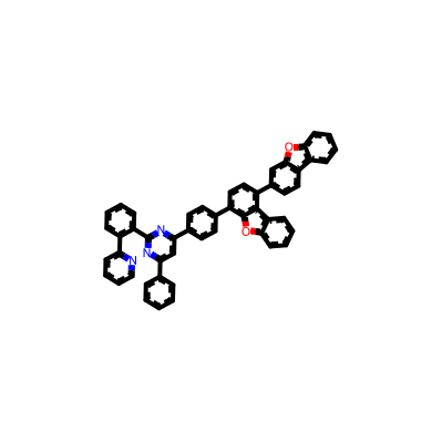 c1ccc(-c2cc(-c3ccc(-c4ccc(-c5ccc6c(c5)oc5ccccc56)c5c4oc4ccccc45)cc3)nc(-c3ccccc3-c3ccccn3)n2)cc1